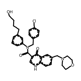 O=C(c1c[nH]c2ccc(CN3CCOCC3)cc2c1=O)N(Cc1ccc(Cl)cc1)c1cccc(CCCCO)c1